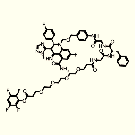 Cn1ncnc1C1C(=N)c2c(C(N)=O)cc(F)cc2N(COCc2ccc(NC(=O)CNC(=O)[C@H](Cc3ccccc3)NC(=O)CNC(=O)CCOCCOCCOCCOCCC(=O)Oc3c(F)c(F)cc(F)c3F)cc2)[C@@H]1c1ccc(F)cc1